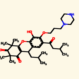 CC(C)CC(=O)c1cc2c(c(O)c1OCCCN1CCNCC1)OC1=C(C(=O)C(C)(C)C(=O)C1(C)C)C2CC(C)C